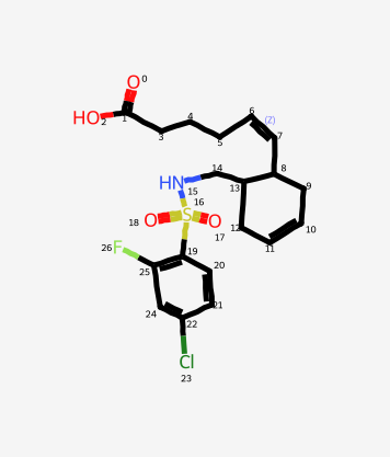 O=C(O)CCC/C=C\C1CC=CCC1CNS(=O)(=O)c1ccc(Cl)cc1F